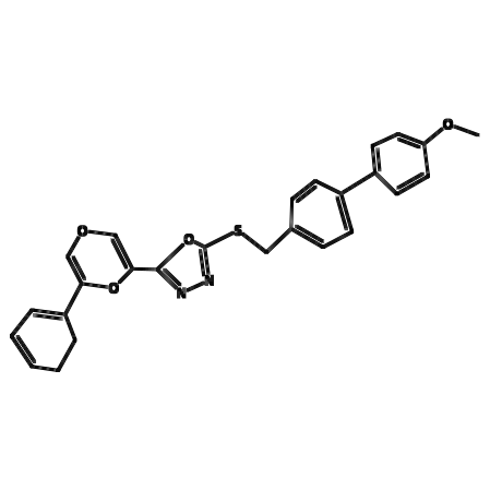 COc1ccc(-c2ccc(CSc3nnc(C4=COC=C(C5=CC=CCC5)O4)o3)cc2)cc1